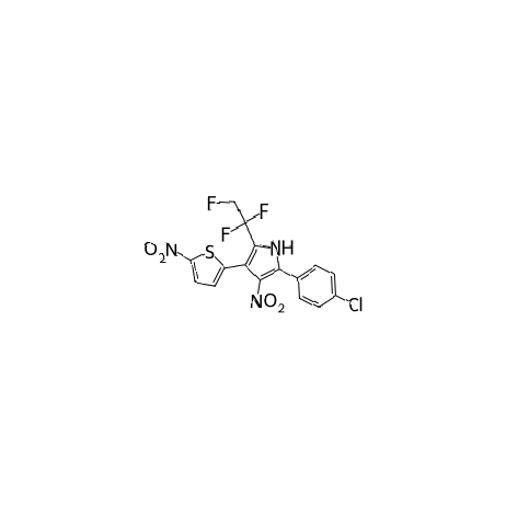 O=[N+]([O-])c1ccc(-c2c(C(F)(F)CF)[nH]c(-c3ccc(Cl)cc3)c2[N+](=O)[O-])s1